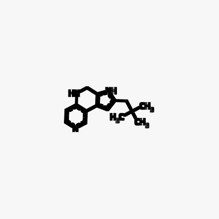 CC(C)(C)Cc1cc2c([nH]1)CNc1ccncc1-2